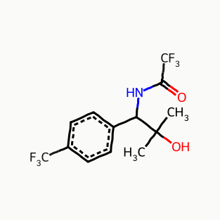 CC(C)(O)C(NC(=O)C(F)(F)F)c1ccc(C(F)(F)F)cc1